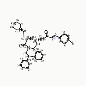 O=C(/C=C/c1ccc(I)cc1)NC[C@@H]1CCN(CC(c2ccccc2)c2ccccc2)C(=O)[C@H](CCN2CCOCC2)N1